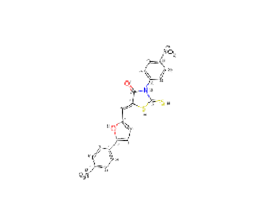 O=C1C(=Cc2ccc(-c3ccc([N+](=O)[O-])cc3)o2)SC(=S)N1c1ccc([N+](=O)[O-])cc1